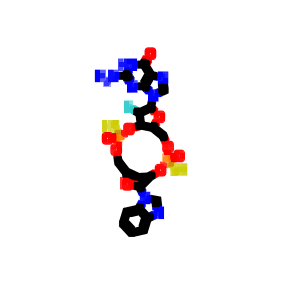 Nc1nc2c(ncn2C2OC3COP(=O)(S)OC4C(O)C(COP(=O)(S)OC3C2F)OC4n2cnc3ccccc32)c(=O)[nH]1